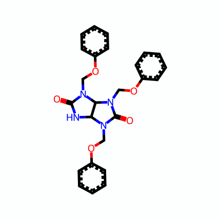 O=C1NC2C(N1COc1ccccc1)N(COc1ccccc1)C(=O)N2COc1ccccc1